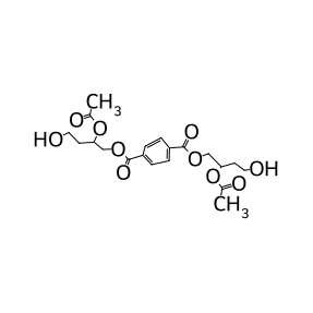 CC(=O)OC(CCO)COC(=O)c1ccc(C(=O)OCC(CCO)OC(C)=O)cc1